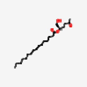 CCCCCCCCCCCCCCCC(=O)O[C@@H](CO)CCC(C)=O